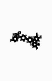 O=c1[nH]c2cc(F)ccc2n1C1CCN(C2CCC(c3ccc(F)c(F)c3)(c3ccc(F)c(F)c3)CC2)CC1